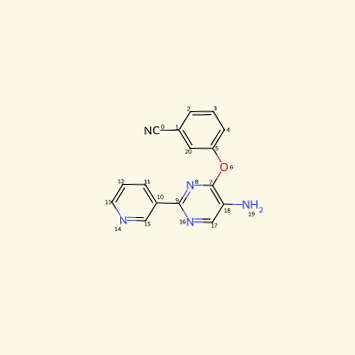 N#Cc1cccc(Oc2nc(-c3cccnc3)ncc2N)c1